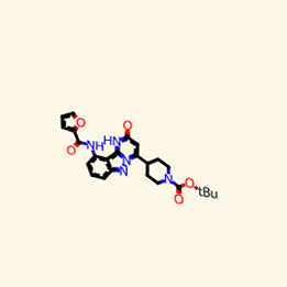 CC(C)(C)OC(=O)N1CCC(c2cc(=O)[nH]c3c4c(NC(=O)c5ccco5)cccc4nn23)CC1